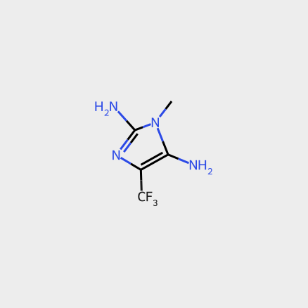 Cn1c(N)nc(C(F)(F)F)c1N